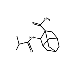 CC(C)C(=O)NC1C2CC3CC(C2)CC1(C(N)=O)C3